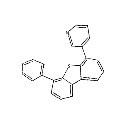 c1ccc(-c2cccc3c2sc2c(-c4cccnc4)cccc23)cc1